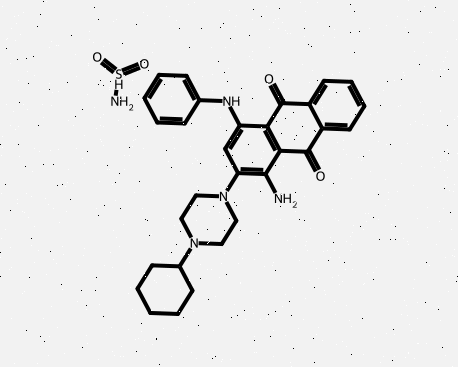 N[SH](=O)=O.Nc1c(N2CCN(C3CCCCC3)CC2)cc(Nc2ccccc2)c2c1C(=O)c1ccccc1C2=O